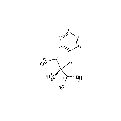 C[C@](Cc1ccccc1)(CC(F)(F)F)C(O)O